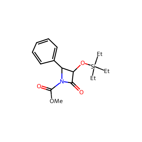 CC[Si](CC)(CC)OC1C(=O)N(C(=O)OC)C1c1ccccc1